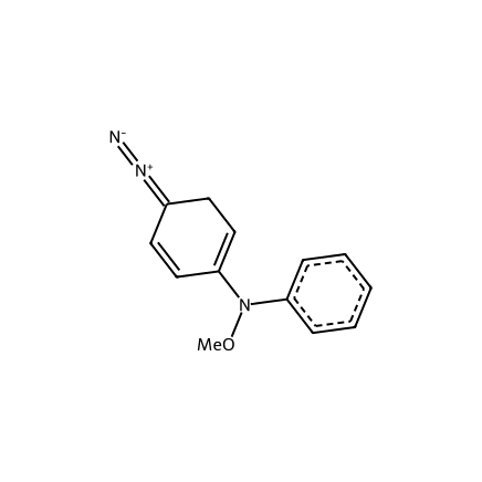 CON(C1=CCC(=[N+]=[N-])C=C1)c1ccccc1